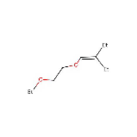 CCOCCOC=C(CC)CC